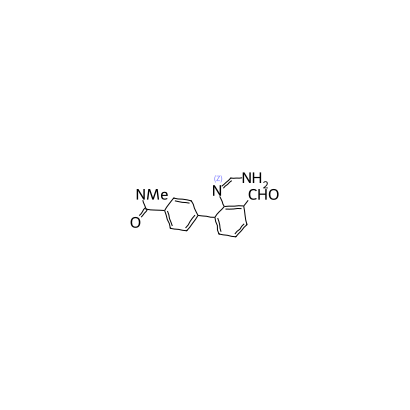 CNC(=O)c1ccc(-c2cccc(C=O)c2/N=C\N)cc1